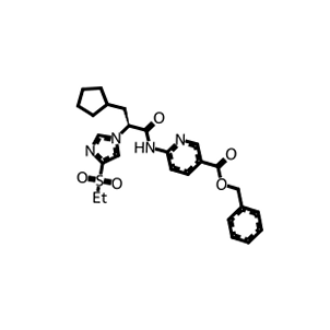 CCS(=O)(=O)c1cn([C@@H](CC2CCCC2)C(=O)Nc2ccc(C(=O)OCc3ccccc3)cn2)cn1